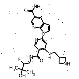 CC(C)(O)C(F)CNC(=O)c1cnc(-n2ccc3cc(C(N)=O)cnc32)cc1NCC1CNC1